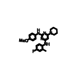 COc1ccc(Nc2nc(Nc3ccc(F)cc3C)cc(N3CCCCC3)n2)cc1